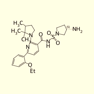 CCOc1ccccc1-c1ccc(C(=O)NS(=O)(=O)N2CC[C@H](N)C2)c(N2CCC(C)C2(C)C)n1